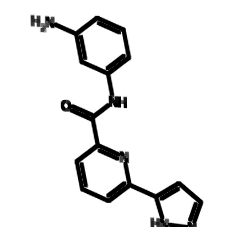 Nc1cccc(NC(=O)c2cccc(-c3ccn[nH]3)n2)c1